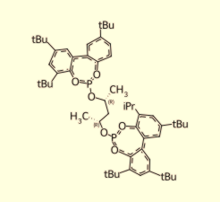 CC(C)c1cc(C(C)(C)C)cc2c1op(O[C@H](C)C[C@@H](C)Op1oc3ccc(C(C)(C)C)cc3c3cc(C(C)(C)C)cc(C(C)(C)C)c3o1)oc1c(C(C)(C)C)cc(C(C)(C)C)cc12